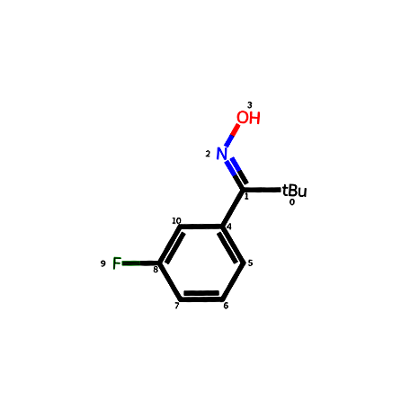 CC(C)(C)C(=NO)c1cccc(F)c1